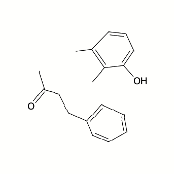 CC(=O)CCc1ccccc1.Cc1cccc(O)c1C